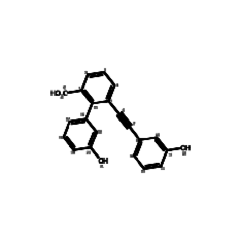 O=C(O)c1cccc(C#Cc2cccc(O)c2)c1-c1cccc(O)c1